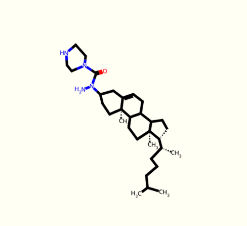 CC(C)CCC[C@@H](C)[C@H]1CCC2C3CC=C4CC(N(N)C(=O)N5CCNCC5)CC[C@]4(C)C3CC[C@@]21C